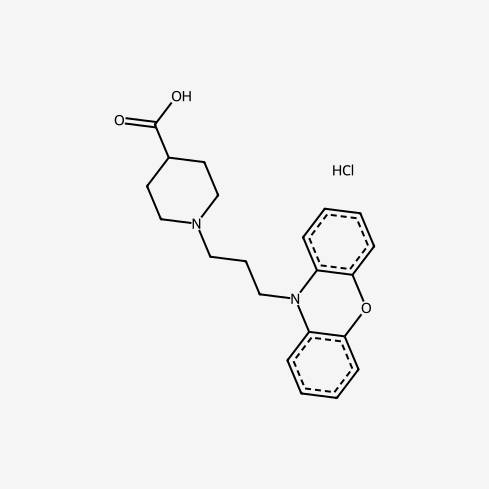 Cl.O=C(O)C1CCN(CCCN2c3ccccc3Oc3ccccc32)CC1